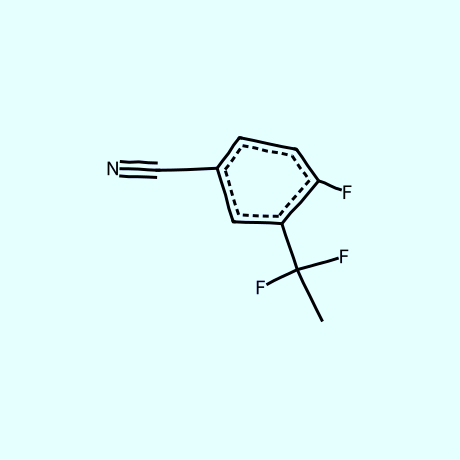 CC(F)(F)c1cc(C#N)ccc1F